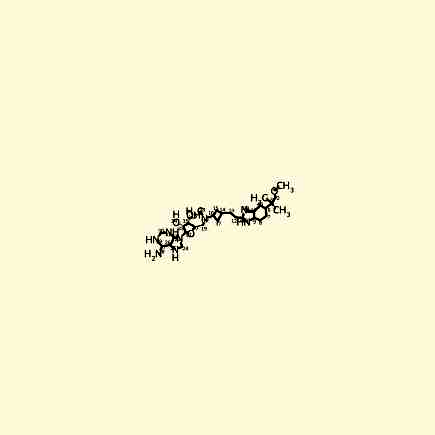 COCC(C)(C)C1CCC2NC(CCC3CC(N(C)C[C@H]4O[C@@H](N5CNC6C(N)NCNC65)[C@H](O)[C@@H]4O)C3)N=C2C1